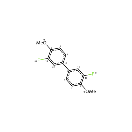 COc1ccc(-c2ccc(OC)c(F)c2)cc1F